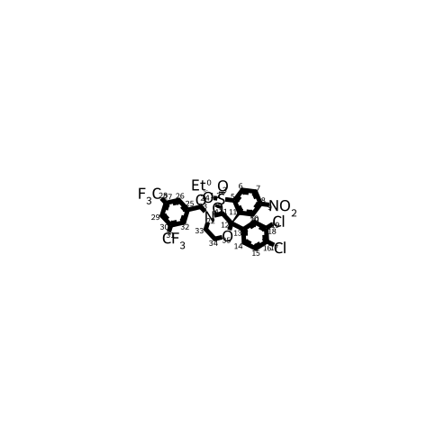 CCOS(=O)(=O)c1ccc([N+](=O)[O-])cc1[C@]1(c2ccc(Cl)c(Cl)c2)CN(C(=O)c2cc(C(F)(F)F)cc(C(F)(F)F)c2)CCO1